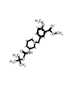 COC(=O)c1cc(CN2CCC[C@@H](NC(=O)OC(C)(C)C)C2)ccc1OC